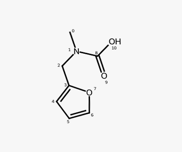 CN(Cc1ccco1)C(=O)O